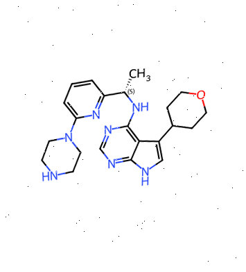 C[C@H](Nc1ncnc2[nH]cc(C3CCOCC3)c12)c1cccc(N2CCNCC2)n1